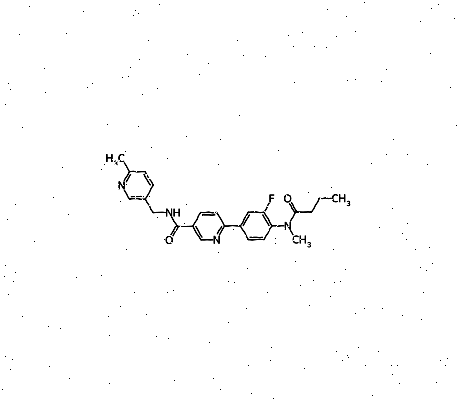 CCCC(=O)N(C)c1ccc(-c2ccc(C(=O)NCc3ccc(C)nc3)cn2)cc1F